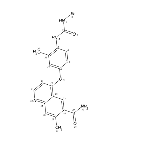 CCNC(=O)Nc1ccc(Oc2ccnc3cc(C)c(C(N)=O)cc23)cc1C